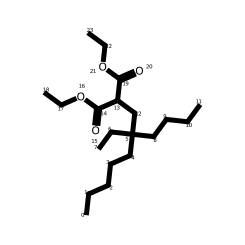 CCCCCC(CC)(CCCC)CC(C(=O)OCC)C(=O)OCC